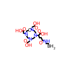 BCCNC(=O)CCC(C(=O)O)N1CCN(CC(=O)O)CCN(CC(=O)O)CCN(CC(=O)O)CC1